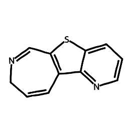 C1=Cc2c(sc3cccnc23)C=NC1